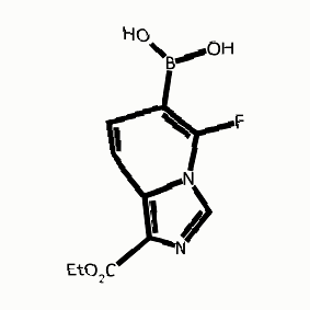 CCOC(=O)c1ncn2c(F)c(B(O)O)ccc12